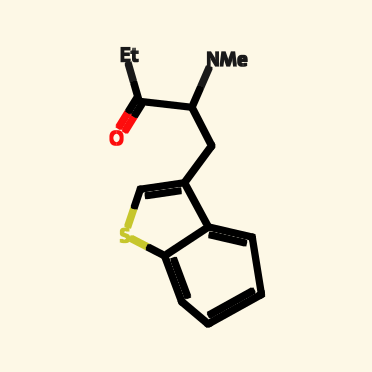 CCC(=O)C(Cc1csc2ccccc12)NC